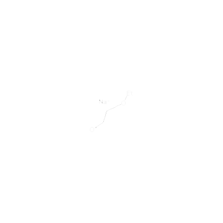 CCOCC[O-].[Na+]